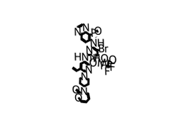 C=Cc1cc(Nc2ncc(Br)c(Nc3ccc4nccnc4c3P(C)(C)=O)n2)c(OC)nc1N1CCC(N2C=CC=COC2=O)CC1.O=C(O)C(F)(F)F